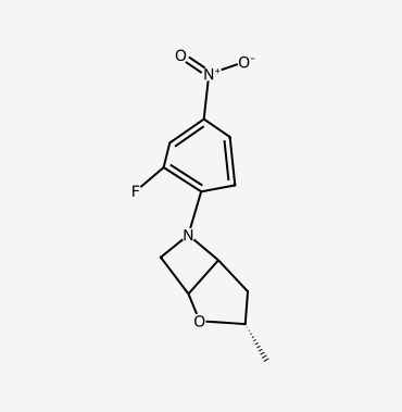 C[C@H]1CC2C(CN2c2ccc([N+](=O)[O-])cc2F)O1